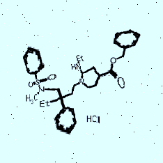 CCNC1CC(C(=O)OCc2ccccc2)CCN1CCC(CC)(CN(C)S(=O)(=O)c1ccccc1)c1ccccc1.Cl